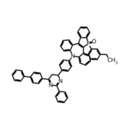 CCc1cccc(P2(=O)C3=C(c4ccccc4N(c4ccc(C5CC(c6ccc(-c7ccccc7)cc6)=NC(c6ccccc6)=N5)cc4)c4ccccc43)c3ccccc32)c1